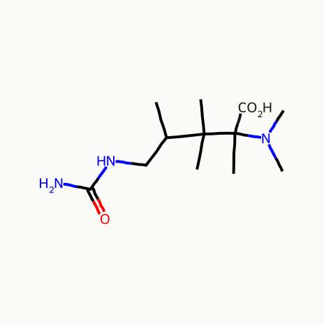 CC(CNC(N)=O)C(C)(C)C(C)(C(=O)O)N(C)C